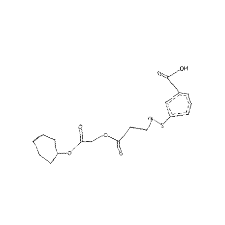 O=C(CCNSc1cccc(C(=O)O)c1)OCC(=O)OC1CCCCC1